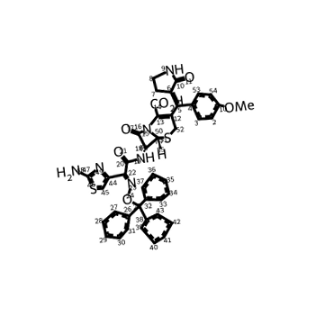 COc1ccc(C(=C2CCNC2=O)C2=C(C(=O)O)N3C(=O)[C@@H](NC(=O)C(=NOC(c4ccccc4)(c4ccccc4)c4ccccc4)c4csc(N)n4)[C@H]3SC2)cc1